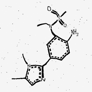 Cc1cnc(-c2ccc(N)c(N(C)S(C)(=O)=O)c2)n1C